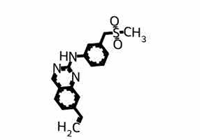 C=Cc1ccc2cnc(Nc3cccc(CS(C)(=O)=O)c3)nc2c1